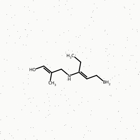 BC/C=C(\CC)NC/C(C)=C/O